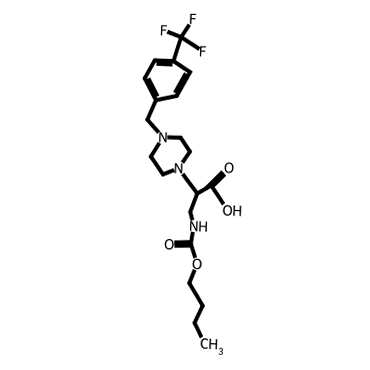 CCCCOC(=O)NCC(C(=O)O)N1CCN(Cc2ccc(C(F)(F)F)cc2)CC1